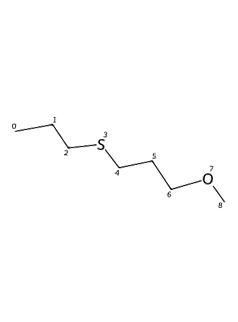 CCCSCCCOC